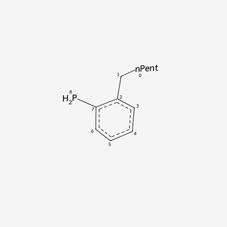 CCCCCCc1ccccc1P